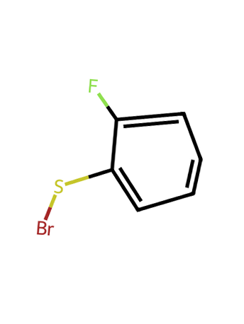 Fc1ccccc1SBr